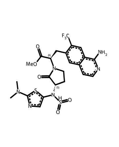 COC(=O)[C@@H](Cc1cc2ccnc(N)c2cc1C(F)(F)F)N1CC[C@H](N(c2cnc(N(C)C)s2)[SH](=O)=O)C1=O